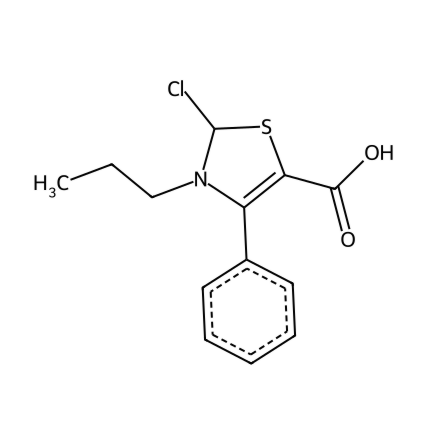 CCCN1C(c2ccccc2)=C(C(=O)O)SC1Cl